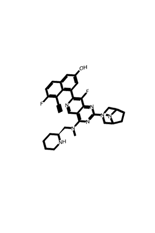 C#Cc1c(F)ccc2cc(O)cc(-c3ncc4c(N(C)C[C@@H]5CCCCN5)nc(N5CC6CCC(C5)N6C)nc4c3F)c12